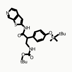 CC(C)(C)OC(=O)NCC(C(=O)Nc1cc2ccncc2s1)c1ccc(O[Si](C)(C)C(C)(C)C)cc1